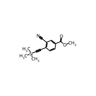 COC(=O)c1ccc(C#C[Si](C)(C)C)c(C#N)c1